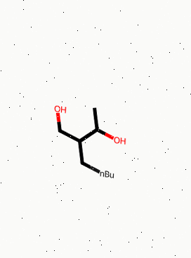 CCCCCC(CO)C(C)O